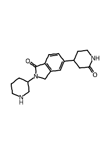 O=C1CC(c2ccc3c(c2)CN(C2CCCNC2)C3=O)CCN1